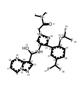 CN(C)C(=O)Cn1cc(NC(O)c2cnn3cccnc23)c(-c2cc(C(F)F)ccc2OC(F)F)n1